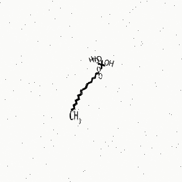 CCCCCCCCCCCCCCCCC(=O)OCC(CO)(CO)CO